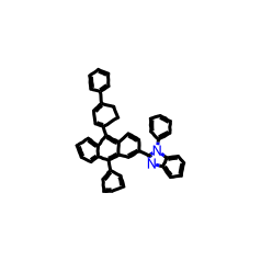 C1=C(c2ccccc2)CCC(c2c3ccccc3c(-c3ccccc3)c3cc(-c4nc5ccccc5n4-c4ccccc4)ccc23)=C1